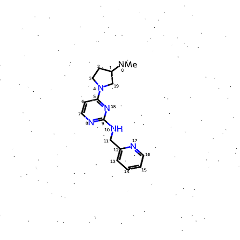 CNC1CCN(c2ccnc(NCc3ccccn3)n2)C1